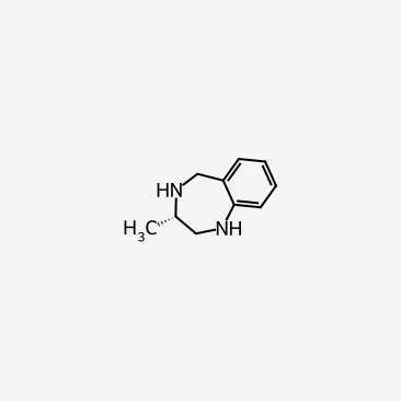 C[C@H]1CNc2ccccc2CN1